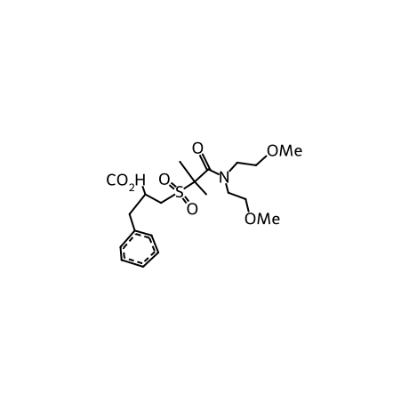 COCCN(CCOC)C(=O)C(C)(C)S(=O)(=O)CC(Cc1ccccc1)C(=O)O